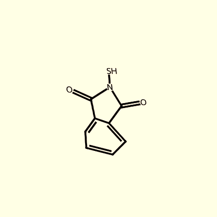 O=C1c2ccccc2C(=O)N1S